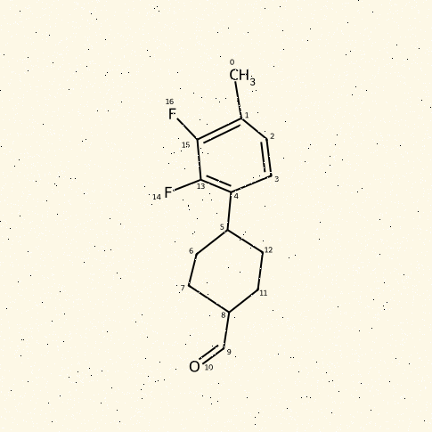 Cc1ccc(C2CCC(C=O)CC2)c(F)c1F